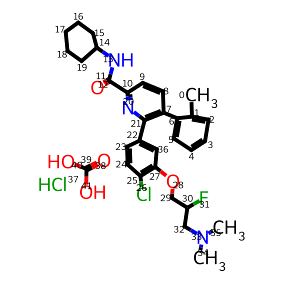 Cc1ccccc1-c1ccc(C(=O)NC2CCCCC2)nc1-c1ccc(Cl)c(OCC(F)CN(C)C)c1.Cl.O=C(O)O